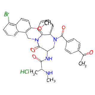 CNC(C)C(=O)NC1CN(C(=O)c2ccc(C(C)=O)cc2)c2ccccc2N(Cc2c(OC)ccc3c(Br)cccc23)C1=O.Cl